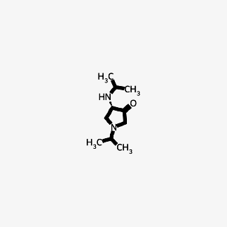 CC(C)N[C@H]1CN(C(C)C)CC1=O